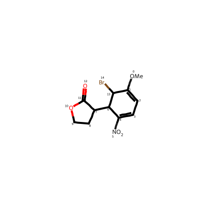 COC1=CC=C([N+](=O)[O-])C(C2CCOC2=O)C1Br